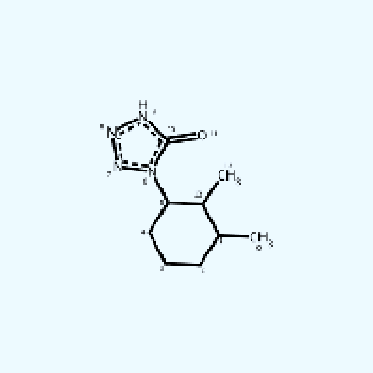 CC1CCCC(n2nn[nH]c2=O)C1C